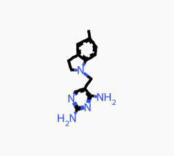 Cc1ccc2c(c1)CCN2Cc1cnc(N)nc1N